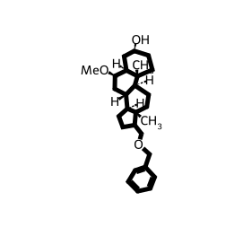 CO[C@@H]1C[C@@H]2[C@H](CC[C@]3(C)C(COCc4ccccc4)CC[C@@H]23)[C@@]2(C)CC[C@@H](O)C[C@H]12